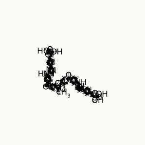 CC(C(=O)C(C)N1CCN(C(=O)c2ccc(Nc3nccc(-c4ccc(CCC(O)S(=O)(=O)O)cc4)n3)cc2)CC1)N1CCN(C(=O)c2ccc(Nc3nccc(-c4ccc(CCC(O)S(=O)(=O)O)cc4)n3)cc2)CC1